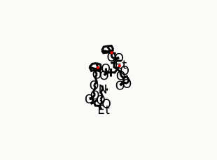 CCC(CC(C)(C)C(=O)OCCOCCOC12CC3CC(C1)CC(OC(=O)C(C)(C)CC(C)(CC(C)(CC)C(=O)OC1(C)C4CC5CC(C4)CC1C5)C(=O)OC1CCOC1=O)(C3)C2)C(=O)OCCN(C)C